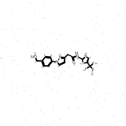 O=C(Cc1ccn(-c2ccc(CO)cc2)n1)Nc1ncc(C(F)(F)F)s1